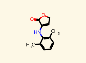 Cc1cccc(C)c1NC1=CCOC1=O